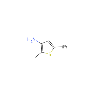 Cc1sc(C(C)C)cc1N